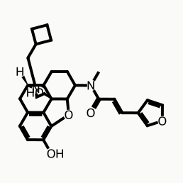 CN(C(=O)/C=C/c1ccoc1)C1CC[C@@]2(O)[C@H]3Cc4ccc(O)c5c4[C@@]2(CCN3CC2CCC2)C1O5